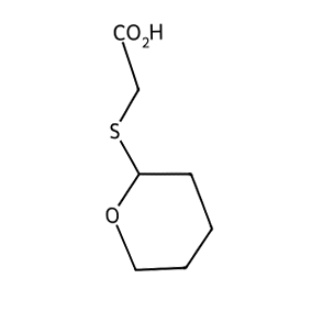 O=C(O)CSC1CCCCO1